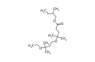 CCOC(C)(C)CCOC(C)(C)CCC(=O)OCC(C)CC